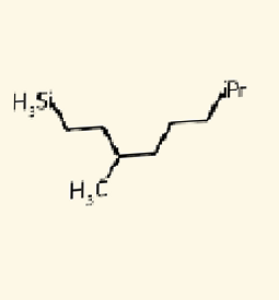 CC(C)CCCC(C)CC[SiH3]